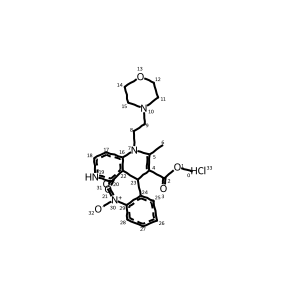 COC(=O)C1=C(C)N(CCN2CCOCC2)c2cc[nH]c(=O)c2C1c1ccccc1[N+](=O)[O-].Cl